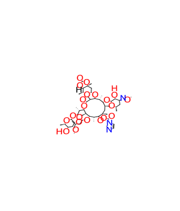 CON=C1C[C@@H](C)O[C@@H](O[C@@H]2[C@@H](C)[C@H](O[C@H]3C[C@@]4(C)OC(=O)O[C@H]4[C@H](C)O3)C(C)C(=O)O[C@H]([C@@H](C)COC3O[C@H](C)[C@@H](O)[C@@H](OC)[C@H]3OC)[C@H](C)[C@@H](OC(=O)CC(C)C)[C@@H](C)C(=O)[C@@](C)(OC(=O)n3ccnc3)C[C@@H]2C)[C@@H]1O